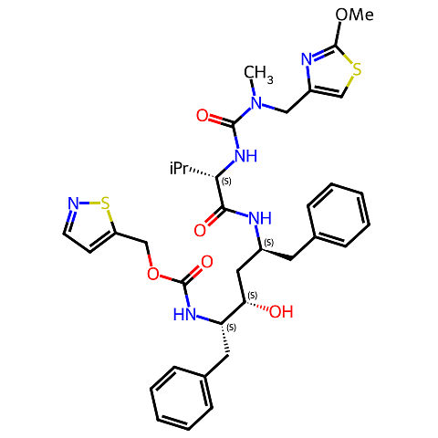 COc1nc(CN(C)C(=O)N[C@H](C(=O)N[C@@H](Cc2ccccc2)C[C@H](O)[C@H](Cc2ccccc2)NC(=O)OCc2ccns2)C(C)C)cs1